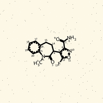 CN1C(=O)C(c2c(C(N)=O)noc2F)CCc2ccccc21